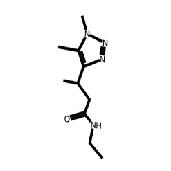 CCNC(=O)CC(C)c1nnn(C)c1C